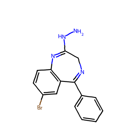 NNC1=Nc2ccc(Br)cc2C(c2ccccc2)=NC1